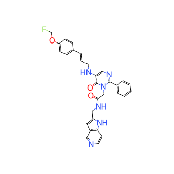 O=C(Cn1c(-c2ccccc2)ncc(NC/C=C/c2ccc(OCF)cc2)c1=O)NCc1cc2cnccc2[nH]1